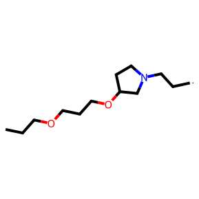 [CH2]CCN1CCC(OCCCOCCC)C1